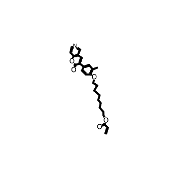 C=CC(=O)OCCCCCCCCCOc1ccc(-c2cc3cnccc3oc2=O)cc1C